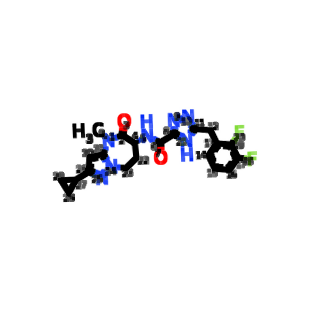 CN1C(=O)[C@@H](NC(=O)c2nnc(Cc3cccc(F)c3F)[nH]2)CCn2nc(C3CC3)cc21